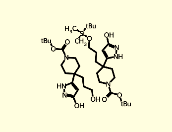 CC(C)(C)OC(=O)N1CCC(CCCO)(c2cc(O)n[nH]2)CC1.CC(C)(C)OC(=O)N1CCC(CCCO[Si](C)(C)C(C)(C)C)(c2cc(O)n[nH]2)CC1